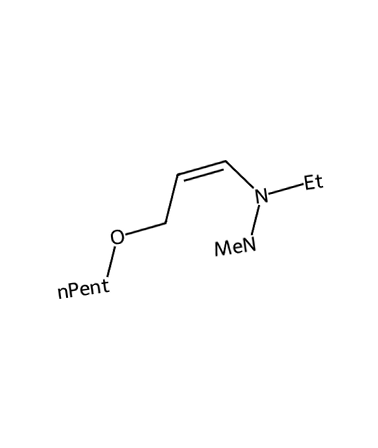 CCCCCOC/C=C\N(CC)NC